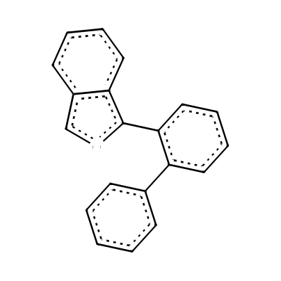 c1ccc(-c2ccccc2-c2occ3ccccc23)cc1